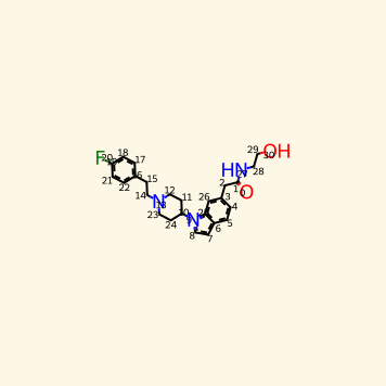 O=C(Cc1ccc2ccn(C3CCN(CCc4ccc(F)cc4)CC3)c2c1)NCCO